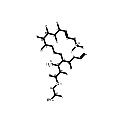 C=CCC(C)C(CCCC(C)C(C)C(C)C(C)C(C)/C=C/CN(C)C)C(N)C(C)C(C)OCC(C)C(C)C